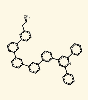 C=CCc1cccc(-c2cccc(-c3cccc(-c4cccc(-c5cccc(-c6cc(-c7ccccc7)nc(-c7ccccc7)c6)c5)c4)c3)c2)c1